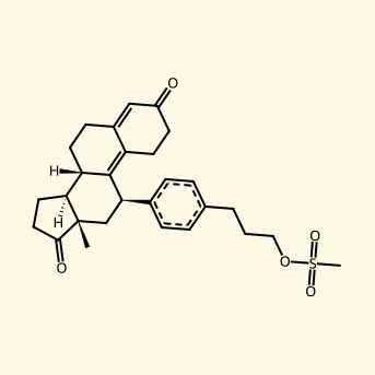 C[C@]12C[C@H](c3ccc(CCCOS(C)(=O)=O)cc3)C3=C4CCC(=O)C=C4CC[C@H]3[C@@H]1CCC2=O